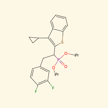 CC(C)OP(=O)(OC(C)C)C(Cc1ccc(F)c(F)c1)c1sc2ccccc2c1C1CC1